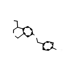 COc1ccc(COc2ccc3c(c2)COCC3CC=O)cc1